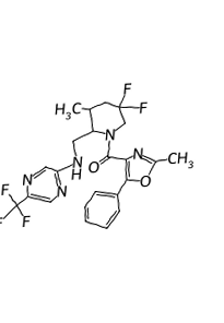 Cc1nc(C(=O)N2CC(F)(F)CC(C)C2CNc2cnc(C(F)(F)F)cn2)c(-c2ccccc2)o1